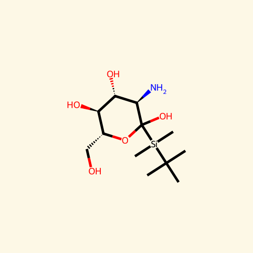 CC(C)(C)[Si](C)(C)C1(O)O[C@H](CO)[C@@H](O)[C@H](O)[C@H]1N